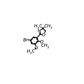 COc1cc(Br)cc(C2=NC(C)(C)CO2)c1OC